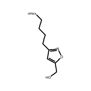 CCCCCCCCCCc1cc(CO)on1